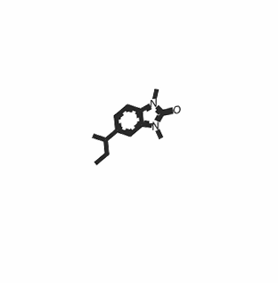 CCC(C)c1ccc2c(c1)n(C)c(=O)n2C